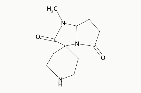 CN1C(=O)C2(CCNCC2)N2C(=O)CCC12